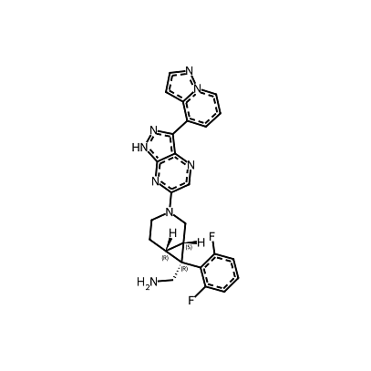 NC[C@]1(c2c(F)cccc2F)[C@@H]2CCN(c3cnc4c(-c5cccn6nccc56)n[nH]c4n3)C[C@@H]21